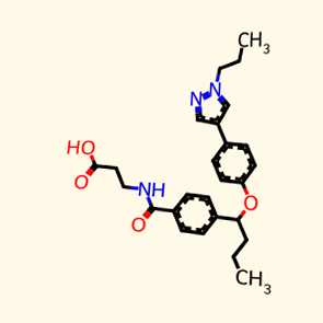 CCCC(Oc1ccc(-c2cnn(CCC)c2)cc1)c1ccc(C(=O)NCCC(=O)O)cc1